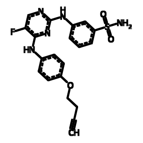 C#CCCOc1ccc(Nc2nc(Nc3cccc(S(N)(=O)=O)c3)ncc2F)cc1